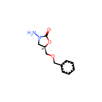 NN1C[C@H](COCc2ccccc2)OC1=O